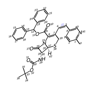 Cc1ccc(/C=C\C2=C(C(=O)OC(c3ccccc3)c3ccccc3)N3C(=O)[C@@H](NC(=O)OC(C)(C)C)[C@@H]3SC2)cn1